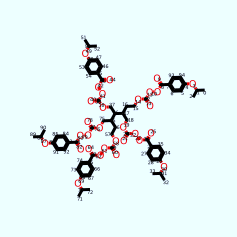 CC(C)Oc1ccc(C(=O)OOC(=O)OCCC(COC(=O)OOC(=O)c2ccc(OC(C)C)cc2)C(COC(=O)OOC(=O)c2ccc(OC(C)C)cc2)C(CCOC(=O)OOC(=O)c2ccc(OC(C)C)cc2)COC(=O)OOC(=O)c2ccc(OC(C)C)cc2)cc1